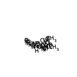 COc1cc(OC)c(Cl)c(-c2ccc(OC(=O)Nc3nc(CN4CCOCC4)c[nH]3)c3nccnc23)c1Cl